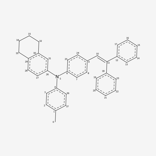 Cc1ccc(N(c2ccc(C=C(c3ccccc3)c3ccccc3)cc2)c2ccc3c(c2)CCCC3)cc1